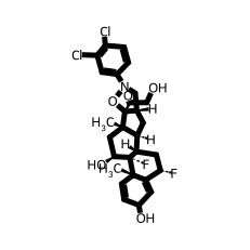 C[C@]12C=CC(O)C=C1[C@@H](F)C[C@H]1[C@@H]3C[C@H]4CN(c5ccc(Cl)c(Cl)c5)O[C@@]4(C(=O)CO)[C@@]3(C)C[C@H](O)[C@@]12F